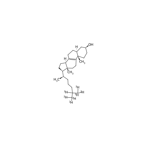 [2H]C([2H])([2H])C([2H])(CCC[C@@H](C)[C@H]1CC[C@H]2C3=C(CC[C@]12C)[C@@]1(C)CC[C@H](O)C[C@@H]1CC3)C([2H])([2H])[2H]